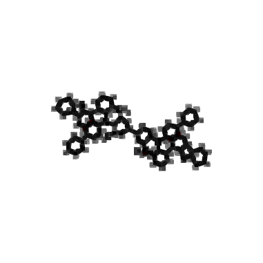 Cc1cc(-c2ccc(N(c3ccc(-c4ccccc4)cc3)c3c(C)cccc3-c3cccc4c3sc3ccccc34)c(C)c2)ccc1N(c1ccc(-c2ccccc2)cc1)c1c(C)cccc1-c1cccc2c1sc1ccccc12